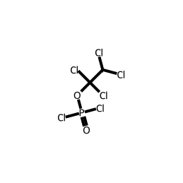 O=P(Cl)(Cl)OC(Cl)(Cl)[C](Cl)Cl